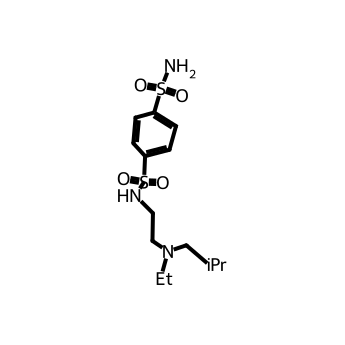 CCN(CCNS(=O)(=O)c1ccc(S(N)(=O)=O)cc1)CC(C)C